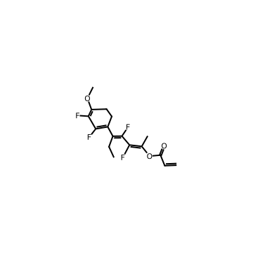 C=CC(=O)O/C(C)=C(F)/C(F)=C(\CC)C1=C(F)C(F)=C(OC)CC1